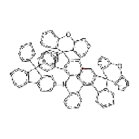 c1ccc(C2(c3ccccc3)c3ccccc3-c3ccc(N(c4ccccc4-c4cccc5c4-c4ccccc4C54c5ccccc5Oc5ccccc54)c4cccc5c4-c4ccccc4C54c5ccccc5Oc5ccccc54)cc32)cc1